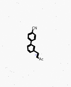 CC(=O)/C=C/c1cccc(-c2ccc(C#N)cc2)c1